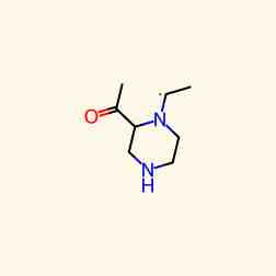 C[CH]N1CCNCC1C(C)=O